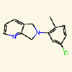 Cc1ccc(Cl)cc1N1Cc2cccnc2C1